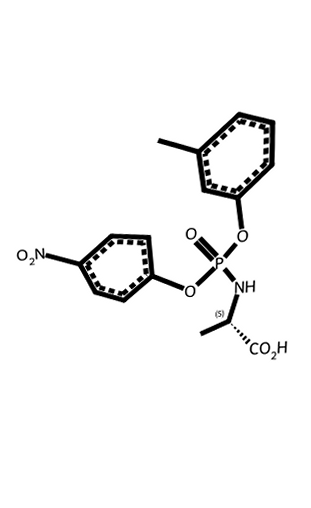 Cc1cccc(OP(=O)(N[C@@H](C)C(=O)O)Oc2ccc([N+](=O)[O-])cc2)c1